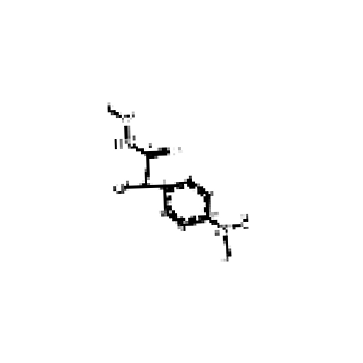 CONC(=O)C(Cl)c1ccc([S+](C)[O-])cc1